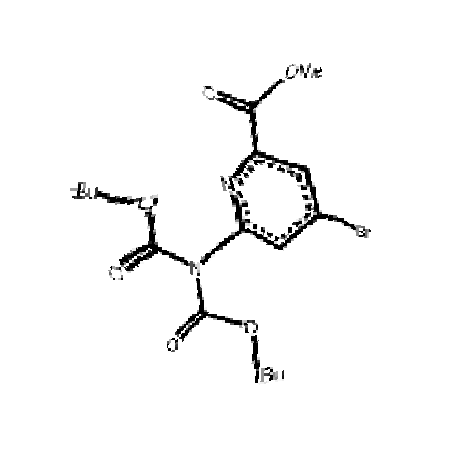 COC(=O)c1cc(Br)cc(N(C(=O)OC(C)(C)C)C(=O)OC(C)(C)C)n1